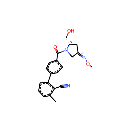 CO/N=C1/C[C@@H](CO)N(C(=O)c2ccc(-c3cccc(C)c3C#N)cc2)C1